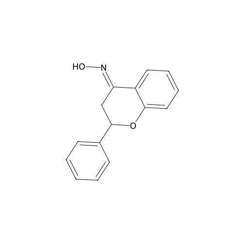 ON=C1CC(c2ccccc2)Oc2ccccc21